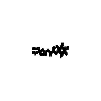 CO[Si](C)(CCCNC(=O)Oc1c(F)c(F)c(F)c(F)c1F)OC